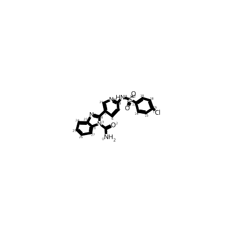 NC(=O)n1c(-c2ccc(NS(=O)(=O)c3ccc(Cl)cc3)nc2)nc2ccccc21